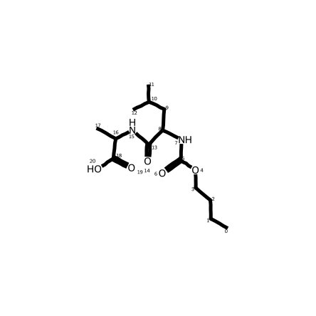 CCCCOC(=O)NC(CC(C)C)C(=O)NC(C)C(=O)O